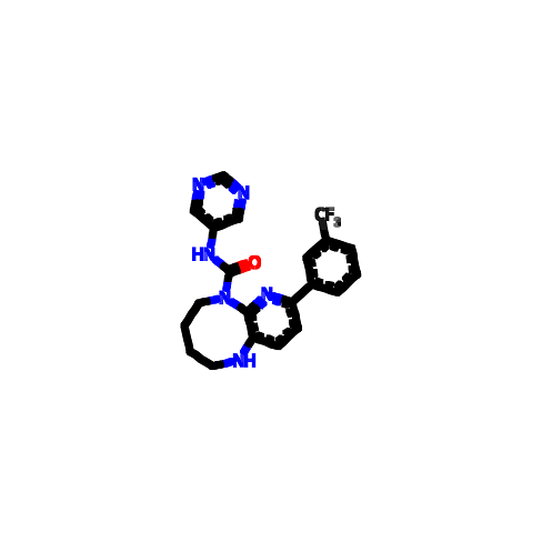 O=C(Nc1cncnc1)N1CCCCNc2ccc(-c3cccc(C(F)(F)F)c3)nc21